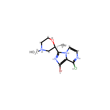 CC(C)(C)[C@]1(c2nc(Br)c3c(Cl)nccn23)CN(C(=O)O)CCO1